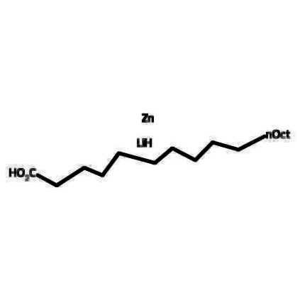 CCCCCCCCCCCCCCCCCC(=O)O.[LiH].[Zn]